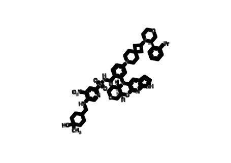 CC(C)c1ccccc1[C@@H]1COCCN1C1CC2(CCN(c3ccc(C(=O)NS(=O)(=O)c4cc([N+](=O)[O-])c(NCC5CCC(C)(O)CC5)cn4)c(N4c5cc6cc[nH]c6nc5O[C@H]5COCC[C@@H]54)c3)CC2)C1